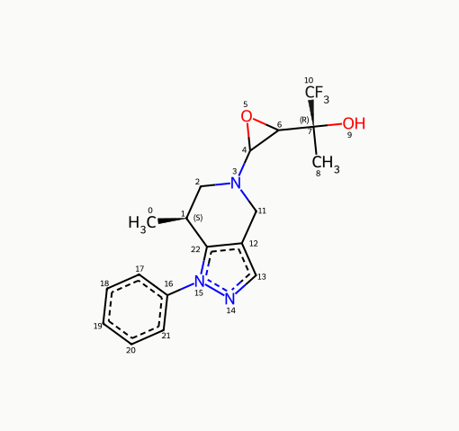 C[C@H]1CN(C2OC2[C@@](C)(O)C(F)(F)F)Cc2cnn(-c3ccccc3)c21